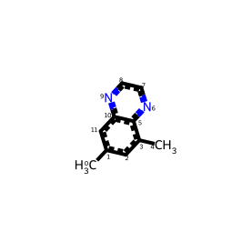 Cc1cc(C)c2nc[c]nc2c1